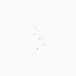 CN(C)N=[N+]([O-])c1cccc([N+](=O)[O-])c1